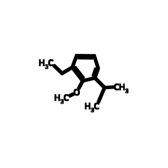 CCc1cccc([C](C)C)c1OC